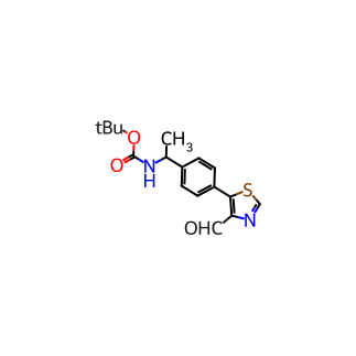 CC(NC(=O)OC(C)(C)C)c1ccc(-c2scnc2C=O)cc1